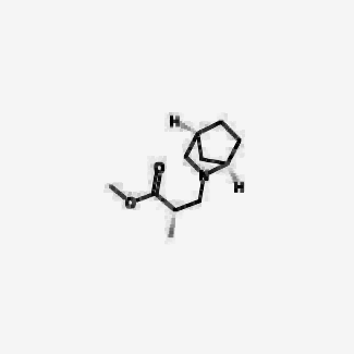 COC(=O)[C@@H](C)CN1C[C@H]2CC[C@@H]1C2